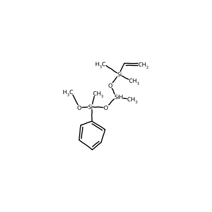 C=C[Si](C)(C)O[SiH](C)O[Si](C)(OC)c1ccccc1